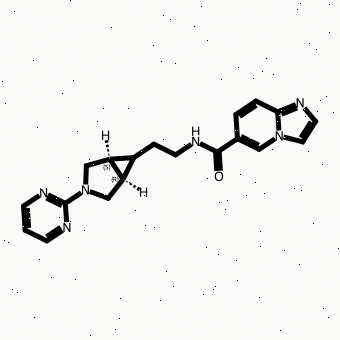 O=C(NCCC1[C@H]2CN(c3ncccn3)C[C@@H]12)c1ccc2nccn2c1